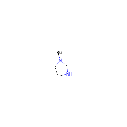 [Ru][N]1CCNC1